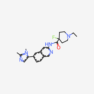 CCN1CCC(F)(C(=O)Nc2cc3cc(-c4cnc(C)n4C)ccc3cn2)CC1